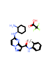 N[C@H]1CCCC[C@H]1Nc1ccn2ncc(C(=O)Nc3ccccc3C(F)(F)F)c2n1.O=C(O)C(F)(F)F